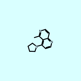 Cc1nccc2nccc(N3CCCC3)c12